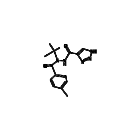 Cc1ccc(C(=O)N(NC(=O)c2c[nH]nn2)C(C)(C)C)cc1